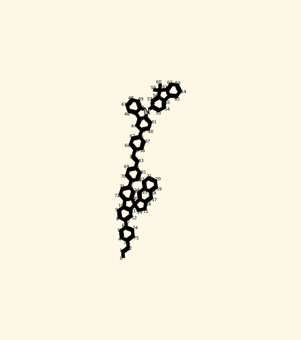 C/C=C/c1ccc(-c2ccc3c(c2)C2(CCc4cc5ccccc5cc42)c2cc(-c4ccc(/C=C/c5ccc(-c6ccc7c(c6)c6ccccc6n7-c6ccc7c(c6)C(C)(C)c6ccccc6-7)cc5)cc4)ccc2-3)cc1